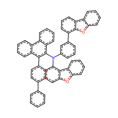 c1ccc(-c2ccc(-c3c(N(c4cccc(-c5cccc6c5oc5ccccc56)c4)c4cccc5oc6ccccc6c45)c4ccccc4c4ccccc34)cc2)cc1